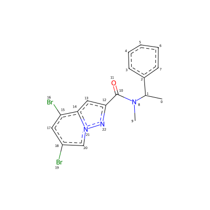 CC(c1ccccc1)N(C)C(=O)c1cc2c(Br)cc(Br)cn2n1